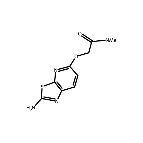 CNC(=O)COc1ccc2nc(N)sc2n1